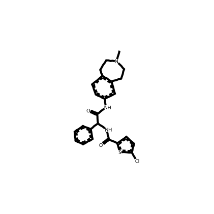 CN1CCc2ccc(NC(=O)C(NC(=O)c3ccc(Cl)s3)c3ccccc3)cc2CC1